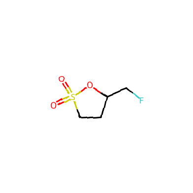 O=S1(=O)CCC(CF)O1